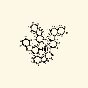 B1c2c(-c3c(Nc4cccc5sc6ccccc6c45)ccc4sc5ccccc5c34)cc3c(sc4ccccc43)c2-n2c3ccc4ccccc4c3c3cccc1c32